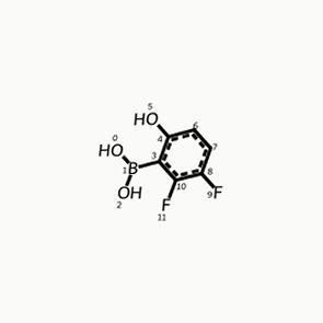 OB(O)c1c(O)ccc(F)c1F